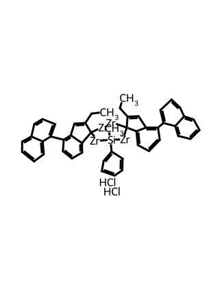 CCC1=Cc2c(-c3cccc4ccccc34)cccc2[C]1([Zr])[Zr][Si](C)([Zr][C]1([Zr])C(CC)=Cc2c(-c3cccc4ccccc34)cccc21)c1ccccc1.Cl.Cl